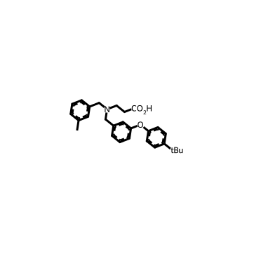 Cc1cccc(CN(CCC(=O)O)Cc2cccc(Oc3ccc(C(C)(C)C)cc3)c2)c1